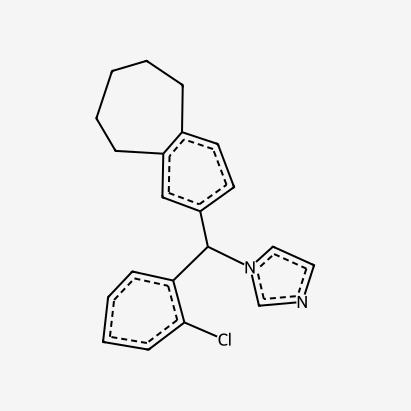 Clc1ccccc1C(c1ccc2c(c1)CCCCC2)n1ccnc1